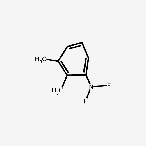 Cc1cccc(N(F)F)c1C